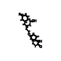 O=C1CCc2cc(OCCN(CCO)Cc3cccc(F)c3)ccc2N1